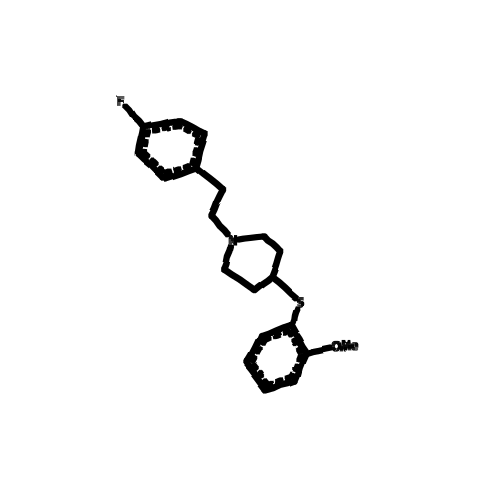 COc1ccccc1SC1CCN(CCc2ccc(F)cc2)CC1